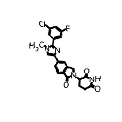 Cn1cc(-c2ccc3c(c2)CN(C2CCC(=O)NC2=O)C3=O)nc1-c1cc(F)cc(Cl)c1